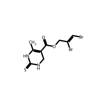 CC1=C(C(=O)OCC(Br)=CBr)CNC(=S)N1